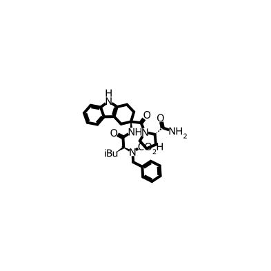 CC[C@H](C)[C@@H](C(=O)N[C@]1(C(=O)N2CCC[C@H]2C(N)=O)CCc2[nH]c3ccccc3c2C1)N(Cc1ccccc1)C(=O)O